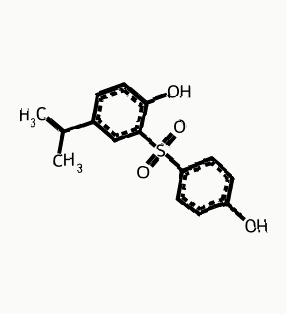 CC(C)c1ccc(O)c(S(=O)(=O)c2ccc(O)cc2)c1